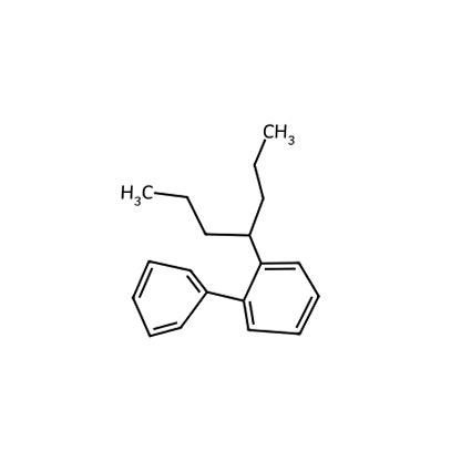 CCCC(CCC)c1ccccc1-c1ccccc1